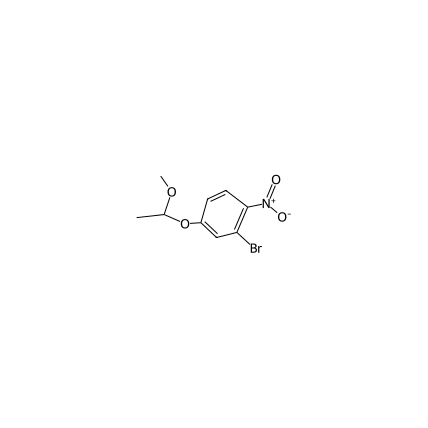 COC(C)Oc1ccc([N+](=O)[O-])c(Br)c1